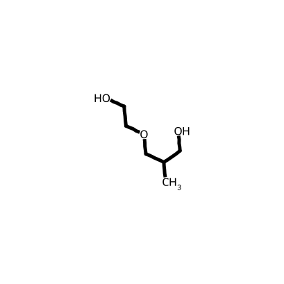 CC(CO)COCCO